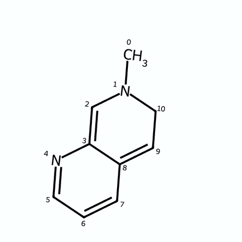 CN1C=c2ncccc2=CC1